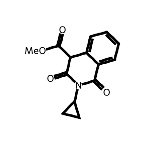 COC(=O)C1C(=O)N(C2CC2)C(=O)c2ccccc21